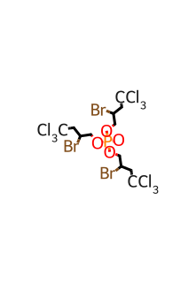 O=P(OCC(Br)CC(Cl)(Cl)Cl)(OCC(Br)CC(Cl)(Cl)Cl)OCC(Br)CC(Cl)(Cl)Cl